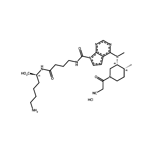 C[C@@H]1CCN(C(=O)CC#N)C[C@@H]1N(C)c1ncnc2c1ccn2C(=O)NCCCC(=O)N[C@@H](CCCCN)C(=O)O.Cl